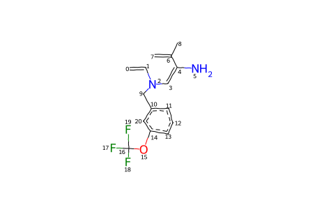 C=CN(/C=C(/N)C(=C)C)Cc1cccc(OC(F)(F)F)c1